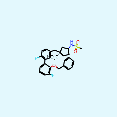 CS(=O)(=O)N[C@H]1CC[C@](Cc2ccc(F)c(-c3cccc(F)c3OCc3ccccc3)c2)(C(=O)O)C1